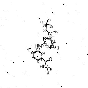 CONC(=O)c1ccc(F)c(Nc2nc(Cl)nc(N(C)CC(C)(C)C)n2)c1